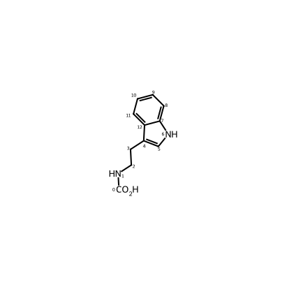 O=C(O)NCCc1c[nH]c2ccccc12